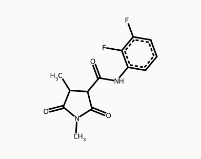 CC1C(=O)N(C)C(=O)C1C(=O)Nc1cccc(F)c1F